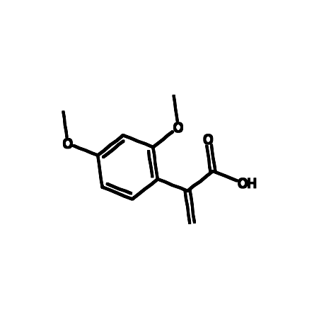 C=C(C(=O)O)c1ccc(OC)cc1OC